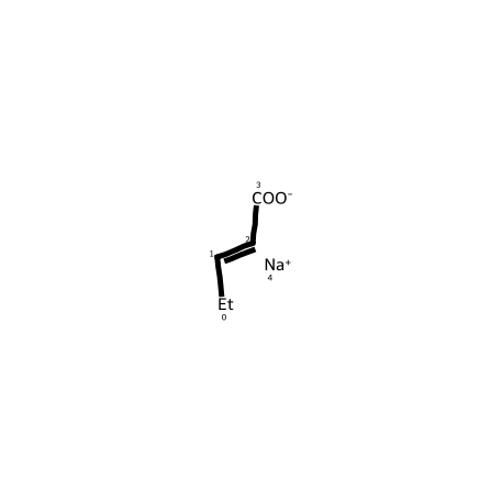 CCC=CC(=O)[O-].[Na+]